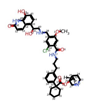 COc1cc(C(=O)NCCCc2cccc(C3(C(=O)O[C@H]4CN5CCC4CC5)CCCCC3)c2)c(Cl)cc1CNCC(O)c1ccc(O)c2[nH]c(=O)ccc12